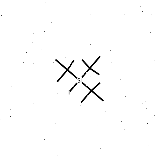 CC(C)(C)[Si](I)(C(C)(C)C)C(C)(C)C